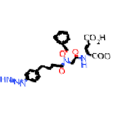 N=[N+]=Nc1ccc(CCCC(=O)N(CC(=O)NC(CCC(=O)O)C(=O)[O-])OCc2ccccc2)cc1